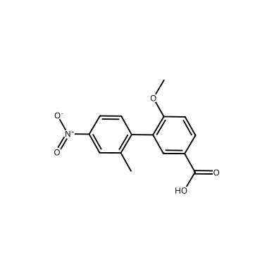 COc1ccc(C(=O)O)cc1-c1ccc([N+](=O)[O-])cc1C